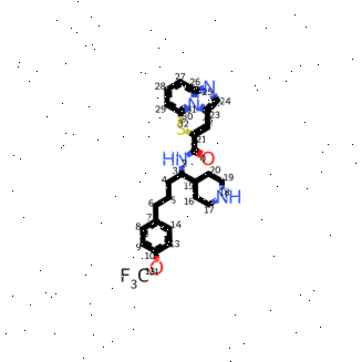 O=C(NC(CCCc1ccc(OC(F)(F)F)cc1)C1CCNCC1)C1=Cc2cnc3cccc(n23)S1